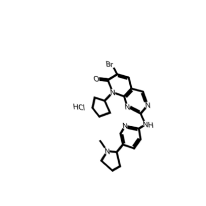 CN1CCCC1c1ccc(Nc2ncc3cc(Br)c(=O)n(C4CCCC4)c3n2)nc1.Cl